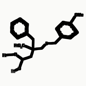 CCOC(=O)C(CSCc1ccc(OC)cc1)(Cc1ccccc1)CC(OCC)OCC